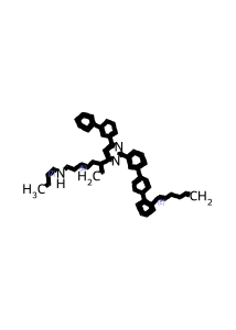 C=CCC/C=C/c1ccccc1C1C=CC(c2cccc(-c3nc(C4=CCCC(c5ccccc5)=C4)cc(C(C=C)C/C=C/CCN/C=C\CC)n3)c2)=CC1